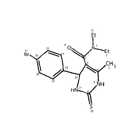 CCN(CC)C(=O)C1=C(C)NC(=S)NC1c1ccc(Br)cc1